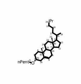 CCCCCO[C@H]1CC[C@@]2(C)C(=CCC3C4CCC(C(C)CCCC(C)C)[C@@]4(C)CCC32)C1